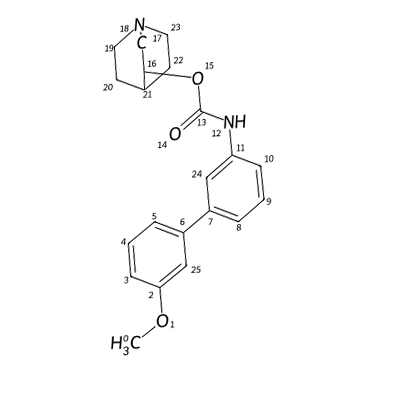 COc1cccc(-c2cccc(NC(=O)OC3CN4CCC3CC4)c2)c1